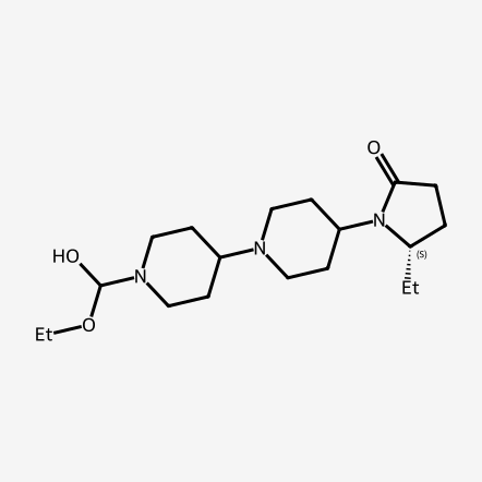 CCOC(O)N1CCC(N2CCC(N3C(=O)CC[C@@H]3CC)CC2)CC1